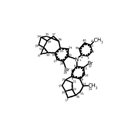 Cc1ccc(N(c2cc3c(cc2Br)C(C)CC2CC4CC3CC24)c2cc3c(cc2Br)C2CC24CC2CC3CC24)cc1